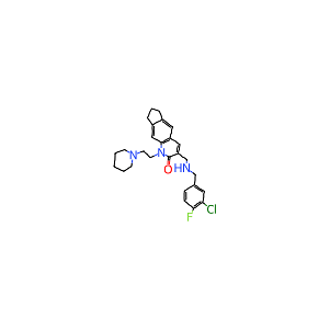 O=c1c(CNCc2ccc(F)c(Cl)c2)cc2cc3c(cc2n1CCN1CCCCC1)CCC3